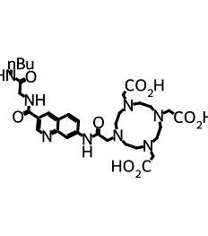 CCCCNC(=O)CNC(=O)c1cnc2cc(NC(=O)CN3CCN(CC(=O)O)CCN(CC(=O)O)CCN(CC(=O)O)CC3)ccc2c1